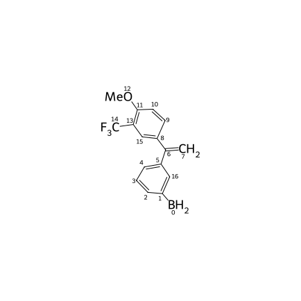 Bc1cccc(C(=C)c2ccc(OC)c(C(F)(F)F)c2)c1